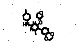 Cc1nc(NC2CCC(C)CC2)nc(O[C@@H]2CCOC2)c1-c1ccc2c(c1)OCCO2